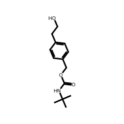 CC(C)(C)NC(=O)OCc1ccc(CCO)cc1